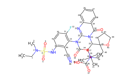 CCN(C)S(=O)(=O)Nc1ccc(F)c(N(C(=O)OC(C)(C)C)c2nc3ccccc3c(=O)n2C2CN(C(=O)O)CCC23CCCO3)c1C#N